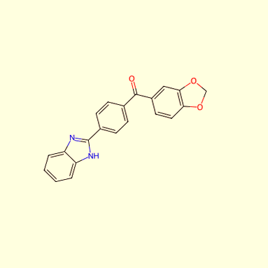 O=C(c1ccc(-c2nc3ccccc3[nH]2)cc1)c1ccc2c(c1)OCO2